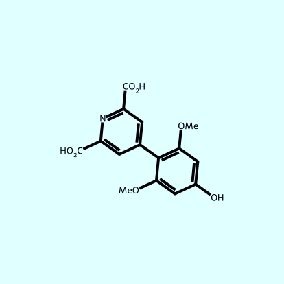 COc1cc(O)cc(OC)c1-c1cc(C(=O)O)nc(C(=O)O)c1